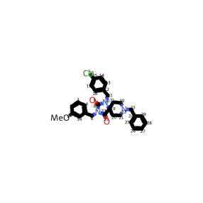 COc1cccc(CN2C(=O)N(Cc3ccc(Cl)cc3)C3(CCN(Cc4ccccc4)CC3)C2=O)c1